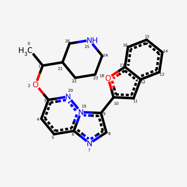 CC(Oc1ccc2ncc(-c3cc4ccccc4o3)n2n1)C1CCCNC1